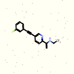 C=C(NCC(F)(F)F)c1ccc(C#Cc2cccc(F)c2)cn1